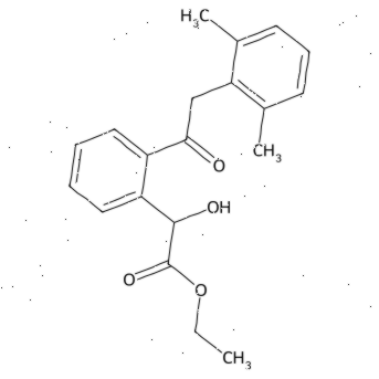 CCOC(=O)C(O)c1ccccc1C(=O)Cc1c(C)cccc1C